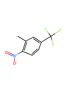 [CH2]c1cc(C(F)(F)F)ccc1[N+](=O)[O-]